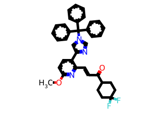 COc1ccc(-c2cn(C(c3ccccc3)(c3ccccc3)c3ccccc3)cn2)c(/C=C/C(=O)C2CCC(F)(F)CC2)n1